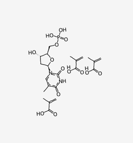 C=C(C)C(=O)O.C=C(C)C(=O)O.C=C(C)C(=O)O.Cc1cn([C@H]2C[C@H](O)[C@@H](COP(=O)(O)O)O2)c(=O)[nH]c1=O